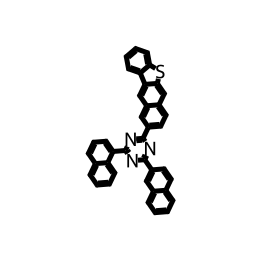 c1ccc2cc(-c3nc(-c4ccc5cc6sc7ccccc7c6cc5c4)nc(-c4cccc5ccccc45)n3)ccc2c1